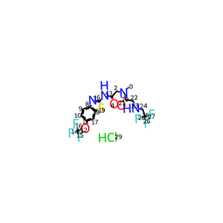 CN(CC(=O)Nc1nc2ccc(OC(F)(F)F)cc2s1)C(=O)CNCC(F)(F)F.Cl